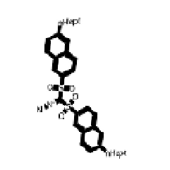 CCCCCCCc1ccc2cc(S(=O)(=O)C(=[N+]=[N-])S(=O)(=O)c3ccc4cc(CCCCCCC)ccc4c3)ccc2c1